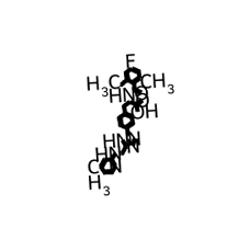 CCc1cc(F)cc(C)c1C(=O)NC(Cc1ccc(-c2nnc(CNc3cc(C)ccn3)[nH]2)cc1)C(=O)O